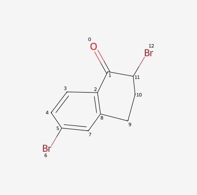 O=C1c2ccc(Br)cc2CCC1Br